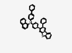 c1ccc(-c2ccc(N(c3ccc(-c4cc5sc6ccccc6c5cc4-c4ccccc4)cc3)c3cccc4ccccc34)cc2)cc1